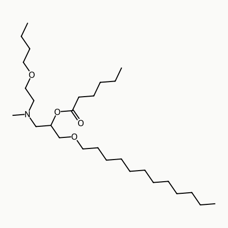 CCCCCCCCCCCCOCC(CN(C)CCOCCCC)OC(=O)CCCCC